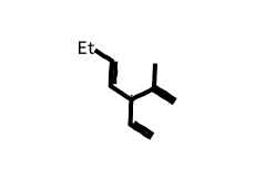 C=C[C](C=CCC)C(=C)C